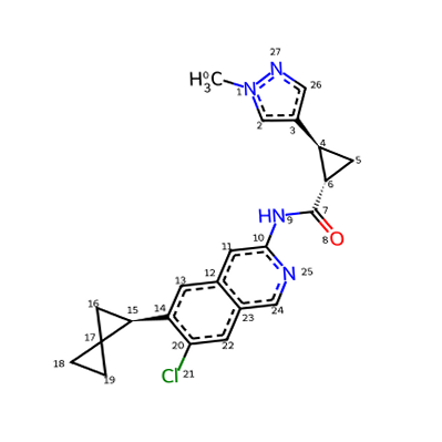 Cn1cc([C@H]2C[C@@H]2C(=O)Nc2cc3cc([C@@H]4CC45CC5)c(Cl)cc3cn2)cn1